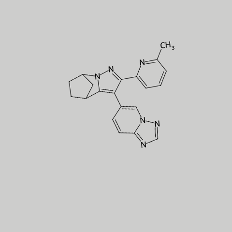 Cc1cccc(-c2nn3c(c2-c2ccc4ncnn4c2)C2CCC3C2)n1